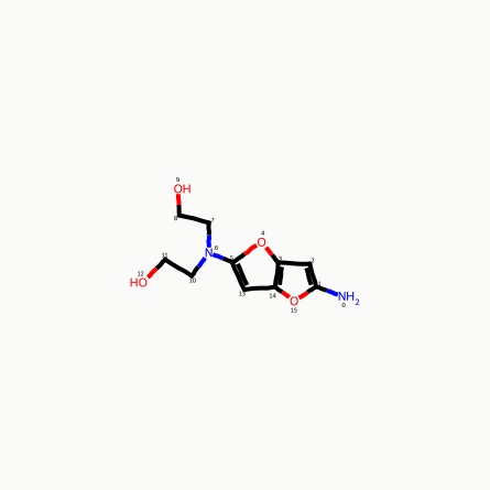 Nc1cc2oc(N(CCO)CCO)cc2o1